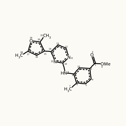 COC(=O)c1ccc(C)c(Nc2nccc(-c3cc(C)oc3C)n2)c1